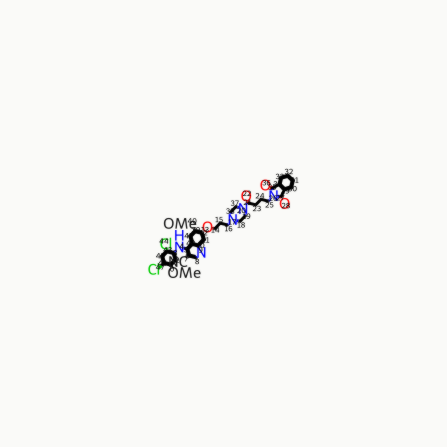 COc1cc(Nc2c(C#N)cnc3cc(OCCCN4CCN(C(=O)CCCN5C(=O)c6ccccc6C5=O)CC4)c(OC)cc23)c(Cl)cc1Cl